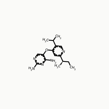 CC[C@@H](C)c1cc(Oc2cnc(N)nc2N)c(C(C)C)cn1